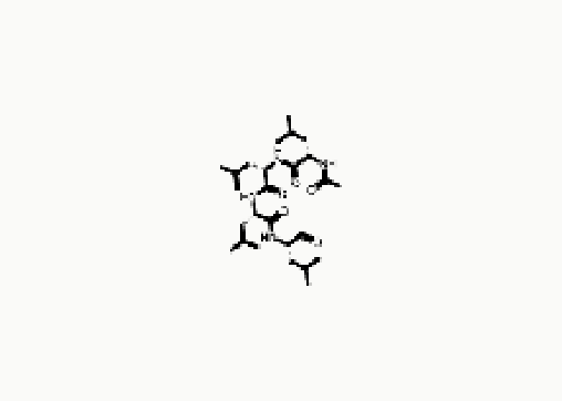 CC(=O)N[C@@H](CC(C)C)C(=O)N[C@@H](CC(C)C)C(=O)N[C@@H](CC(C)C)C(=O)N[C@H](C=O)CC(C)C